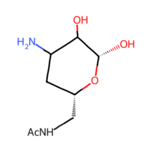 CC(=O)NC[C@@H]1CC(N)C(O)[C@H](O)O1